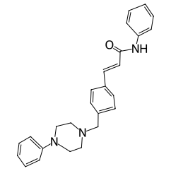 O=C(/C=C/c1ccc(CN2CCN(c3ccccc3)CC2)cc1)Nc1ccccc1